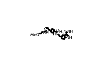 COCCCNc1nccc(-c2ccc(C(=O)NCCc3ccc4[nH]cc(C(=N)N)c4c3)cc2)n1